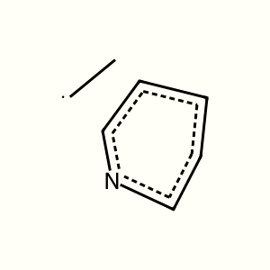 [CH2]C.c1ccncc1